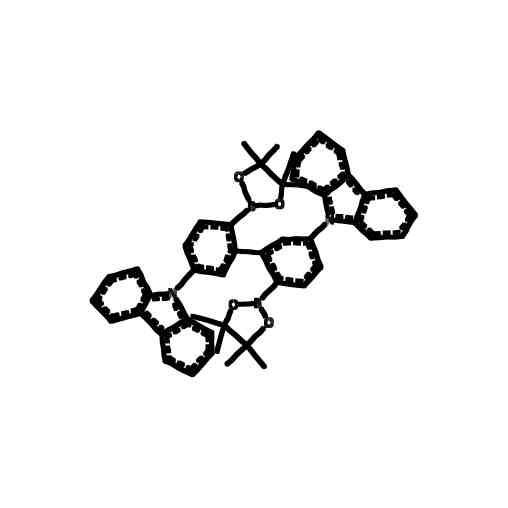 CC1(C)OB(c2ccc(-n3c4ccccc4c4ccccc43)cc2-c2cc(-n3c4ccccc4c4ccccc43)ccc2B2OC(C)(C)C(C)(C)O2)OC1(C)C